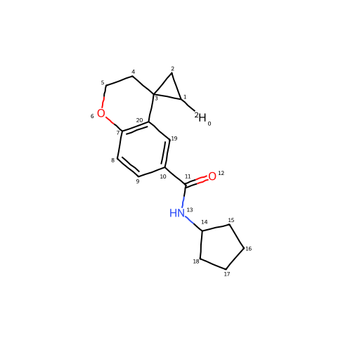 [2H]C1CC12CCOc1ccc(C(=O)NC3CCCC3)cc12